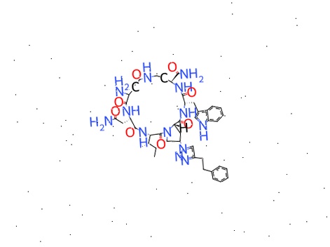 CC[C@H](C)[C@@H]1NC(=O)[C@H](CC(N)=O)NC(=O)C(N)CC(=O)NCC[C@@H](C(N)=O)NC(=O)[C@H](Cc2c[nH]c3ccccc23)NC(=O)[C@@H]2C[C@H](n3cc(CCc4ccccc4)nn3)CN2C1=O